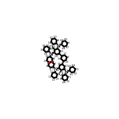 Clc1c(N(c2ccccc2)c2ccccc2)cc(-c2cccc(-c3cc(N(c4ccccc4)c4ccccc4)c(Cl)c(N(c4ccccc4)c4ccccc4)c3)c2)cc1N(c1ccccc1)c1ccccc1